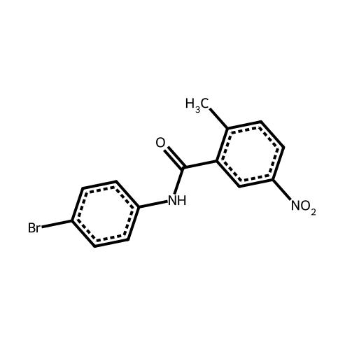 Cc1ccc([N+](=O)[O-])cc1C(=O)Nc1ccc(Br)cc1